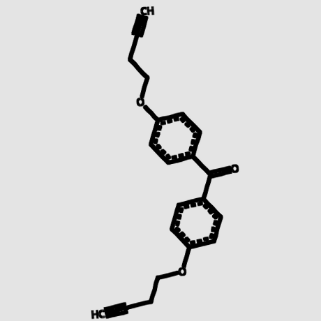 C#CCCOc1ccc(C(=O)c2ccc(OCCC#C)cc2)cc1